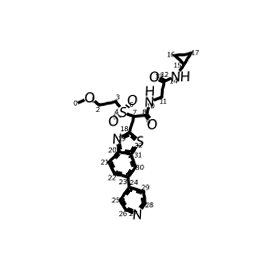 COCCS(=O)(=O)C(C(=O)NCC(=O)NC1CC1)c1nc2ccc(-c3ccncc3)cc2s1